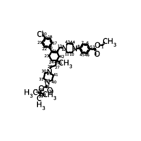 CCOC(=O)c1ccc(N2CCN(CC3=C(c4ccc(Cl)cc4)CCC(C)(CCN4CCN(C(=O)OC(C)(C)C)CC4)C3)CC2)cc1